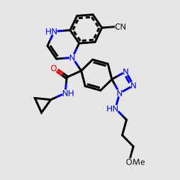 COCCCNN1N=NC12C=CC(C(=O)NC1CC1)(N1C=CNc3ccc(C#N)cc31)C=C2